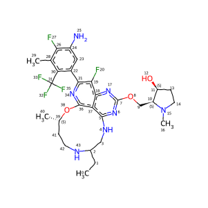 CCC1CNc2nc(OC[C@H]3[C@@H](O)CCN3C)nc3c(F)c(-c4cc(N)c(F)c(C)c4C(F)(F)F)nc(c23)O[C@@H](C)CCN1